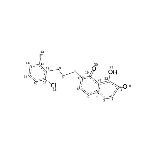 O=c1ccn2ccn(CCCc3c(F)cccc3Cl)c(=O)c2c1O